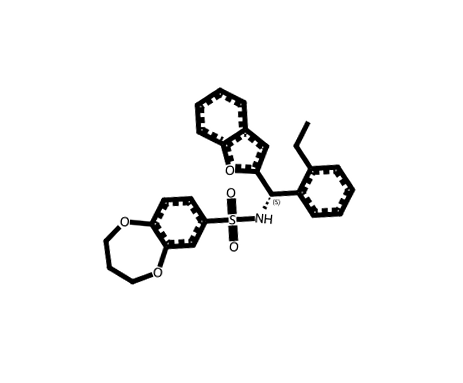 CCc1ccccc1[C@H](NS(=O)(=O)c1ccc2c(c1)OCCCO2)c1cc2ccccc2o1